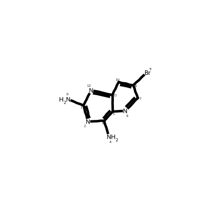 Nc1nc(N)c2ncc(Br)cc2n1